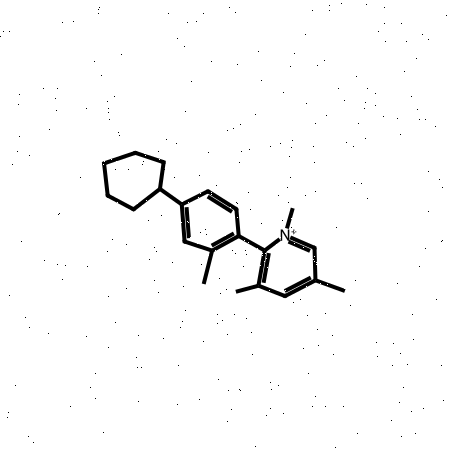 Cc1cc(C)c(-c2ccc(C3CCCCC3)cc2C)[n+](C)c1